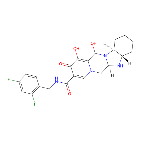 O=C(NCc1ccc(F)cc1F)c1cn2c(c(O)c1=O)C(O)N1[C@H](C2)N[C@H]2CCCC[C@@H]21